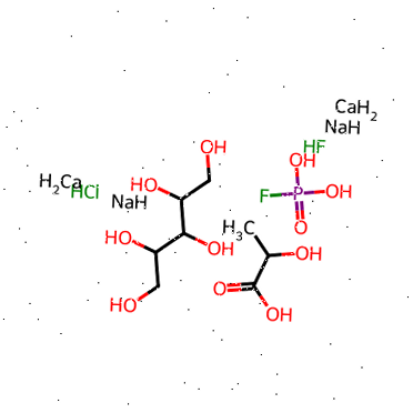 CC(O)C(=O)O.Cl.F.O=P(O)(O)F.OCC(O)C(O)C(O)CO.[CaH2].[CaH2].[NaH].[NaH]